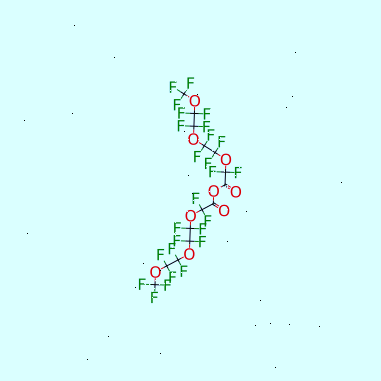 O=C(OC(=O)C(F)(F)OC(F)(F)C(F)(F)OC(F)(F)C(F)(F)OC(F)(F)F)C(F)(F)OC(F)(F)C(F)(F)OC(F)(F)C(F)(F)OC(F)(F)F